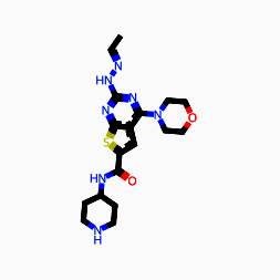 C/C=N/Nc1nc(N2CCOCC2)c2cc(C(=O)NC3CCNCC3)sc2n1